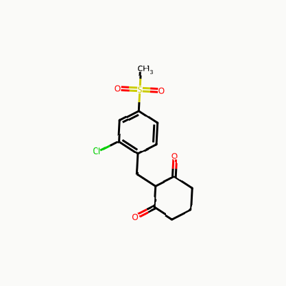 CS(=O)(=O)c1ccc(CC2C(=O)CCCC2=O)c(Cl)c1